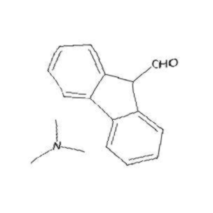 CN(C)C.O=CC1c2ccccc2-c2ccccc21